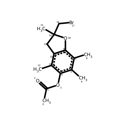 CC(=O)Oc1c(C)c(C)c2c(c1C)CC(C)(CBr)O2